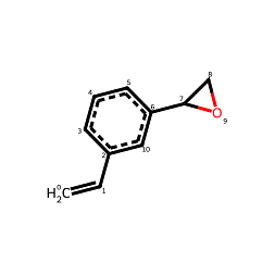 C=Cc1cccc(C2CO2)c1